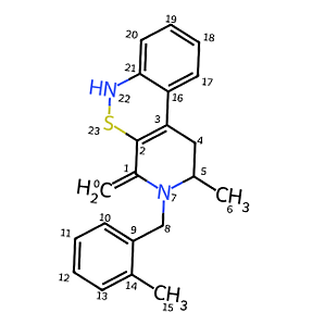 C=C1C2=C(CC(C)N1Cc1ccccc1C)c1ccccc1NS2